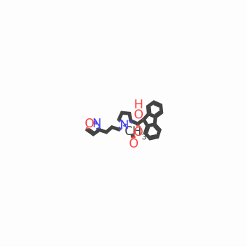 C[N+]1(CCCc2ccon2)CCCC1C(OC=O)C1(O)c2ccccc2-c2ccccc21